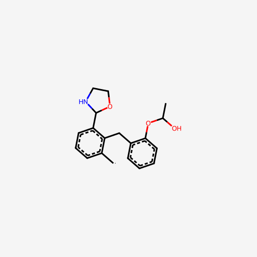 [CH2]c1cccc(C2NCCO2)c1Cc1ccccc1OC(C)O